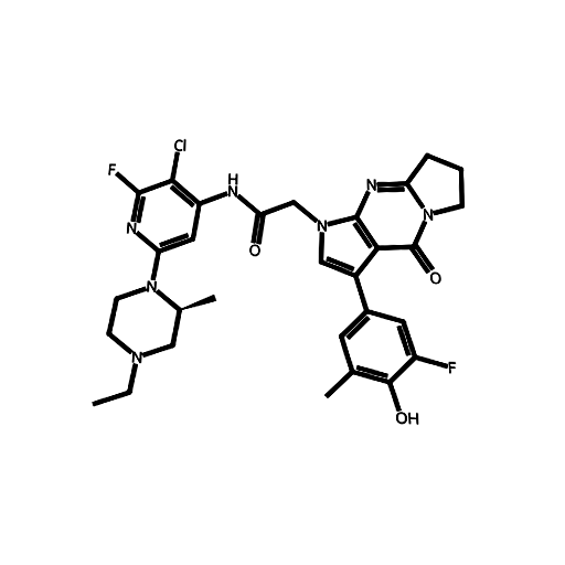 CCN1CCN(c2cc(NC(=O)Cn3cc(-c4cc(C)c(O)c(F)c4)c4c(=O)n5c(nc43)CCC5)c(Cl)c(F)n2)[C@@H](C)C1